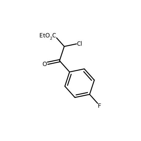 CCOC(=O)C(Cl)C(=O)c1ccc(F)cc1